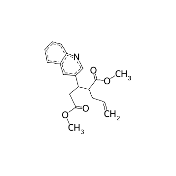 C=CCC(C(=O)OC)C(CC(=O)OC)c1cnc2ccccc2c1